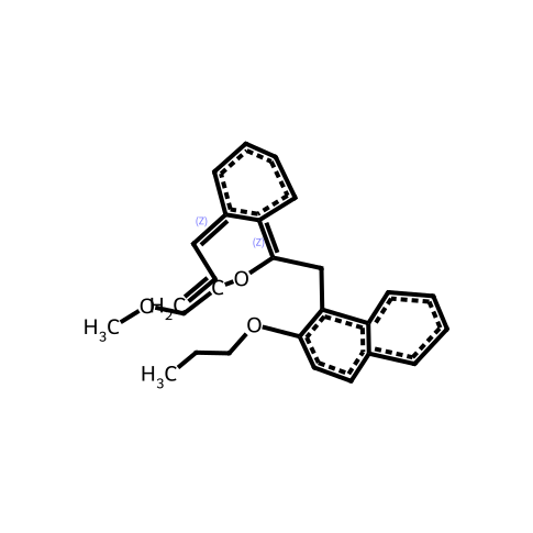 C=C/C=c1/cccc/c1=C(\Cc1c(OCCC)ccc2ccccc12)OCCOC